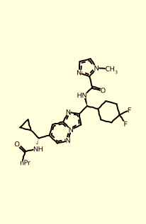 CCCC(=O)N[C@@H](c1cnn2cc([C@@H](NC(=O)c3nccn3C)C3CCC(F)(F)CC3)nc2c1)C1CC1